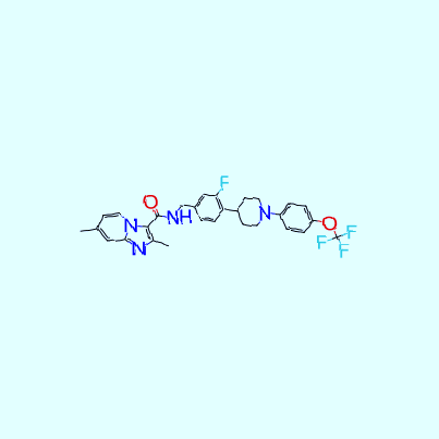 Cc1ccn2c(C(=O)NCc3ccc(C4CCN(c5ccc(OC(F)(F)F)cc5)CC4)c(F)c3)c(C)nc2c1